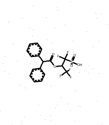 O=C(OC(C(F)(F)F)C(F)(F)S(=O)(=O)O)C(c1ccccc1)c1ccccc1